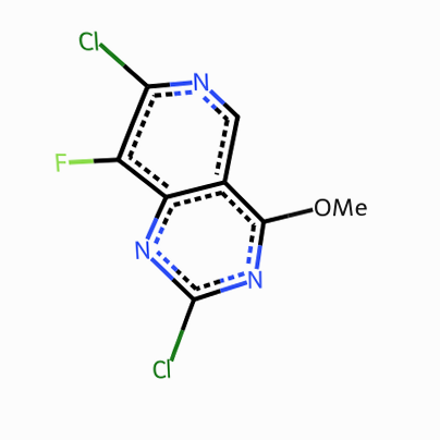 COc1nc(Cl)nc2c(F)c(Cl)ncc12